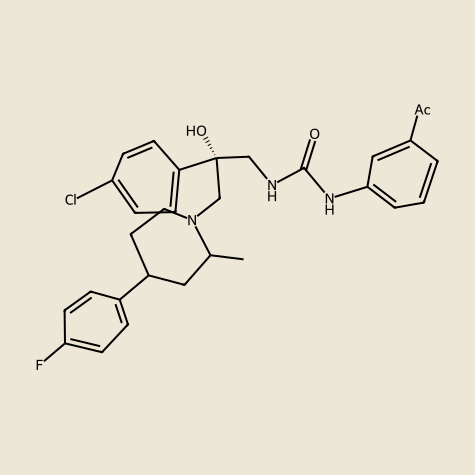 CC(=O)c1cccc(NC(=O)NC[C@@](O)(CN2CCC(c3ccc(F)cc3)CC2C)c2ccc(Cl)cc2)c1